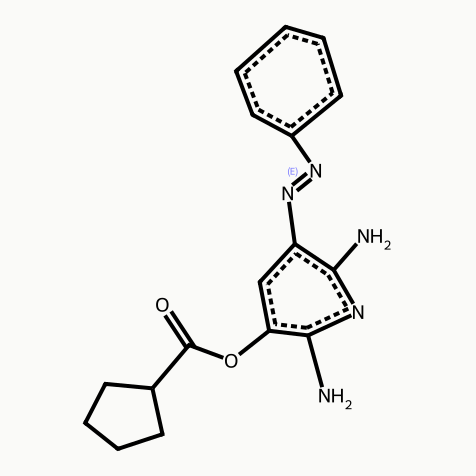 Nc1nc(N)c(OC(=O)C2CCCC2)cc1/N=N/c1ccccc1